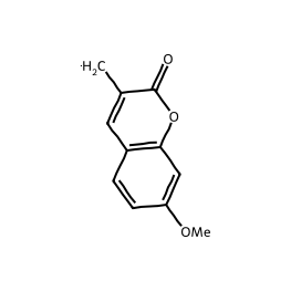 [CH2]c1cc2ccc(OC)cc2oc1=O